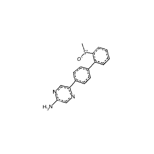 C[S+]([O-])c1ccccc1-c1ccc(-c2cnc(N)cn2)cc1